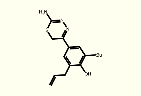 C=CCc1cc(C2=NN=C(N)SC2)cc(C(C)(C)C)c1O